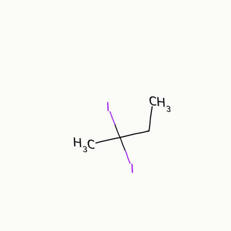 CCC(C)(I)I